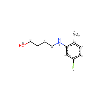 O=[N+]([O-])c1ccc(F)cc1NCCCCO